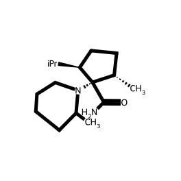 CC(C)[C@H]1CC[C@H](C)[C@]1(C(N)=O)N1CCCCC1C